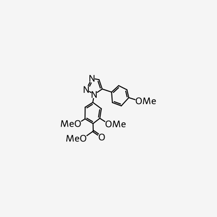 COC(=O)c1c(OC)cc(-n2nncc2-c2ccc(OC)cc2)cc1OC